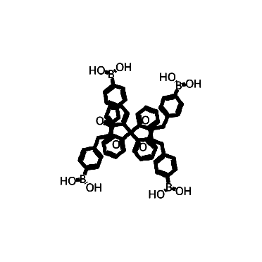 O=C(Cc1ccc(B(O)O)cc1)c1ccccc1C(c1ccccc1C(=O)Cc1ccc(B(O)O)cc1)(c1ccccc1C(=O)Cc1ccc(B(O)O)cc1)c1ccccc1C(=O)Cc1ccc(B(O)O)cc1